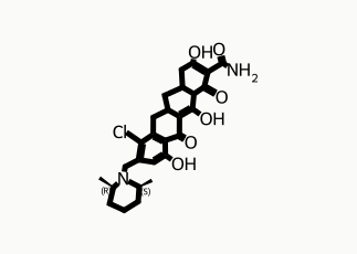 C[C@@H]1CCC[C@H](C)N1Cc1cc(O)c2c(c1Cl)CC1CC3CC(O)=C(C(N)=O)C(=O)C3C(O)=C1C2=O